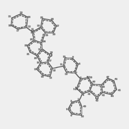 c1ccc(-c2nc(-c3cccc(-c4cccc5c4oc4c5ccc5c4c4ccccc4n5-c4ccccc4)c3)nc3c2oc2ccccc23)cc1